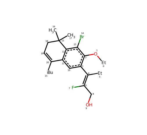 CCOc1c(C(CC)=C(F)CO)cc2c(c1Br)C(C)(C)CC=C2C(C)CC